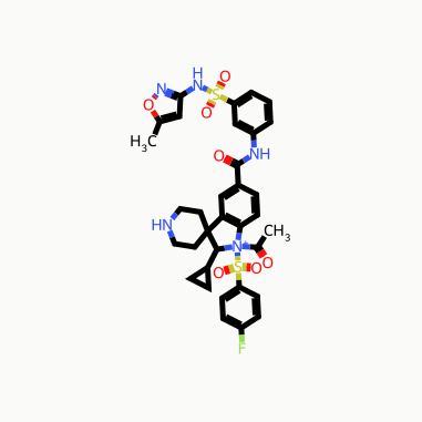 CC(=O)[N+]1(S(=O)(=O)c2ccc(F)cc2)c2ccc(C(=O)Nc3cccc(S(=O)(=O)Nc4cc(C)on4)c3)cc2C2(CCNCC2)C1C1CC1